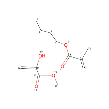 C=C(C)C(=O)OCCCC.C=C(O)C(=O)OC